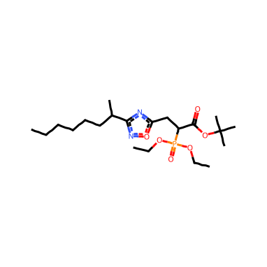 CCCCCCC(C)c1noc(CC(C(=O)OC(C)(C)C)P(=O)(OCC)OCC)n1